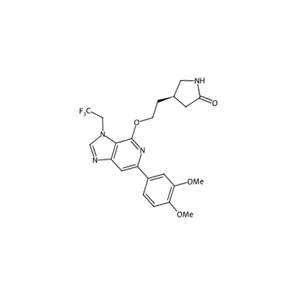 COc1ccc(-c2cc3ncn(CC(F)(F)F)c3c(OCC[C@H]3CNC(=O)C3)n2)cc1OC